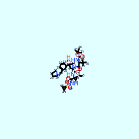 C=C[C@@H]1C[C@]1(NC(=O)[C@@H]1C[C@@](O)(C2C=CC=C(CN3CCCC3)C2)CN1C(=O)[C@@H](NC(=O)OC(C)(C)C)C(C)(C)C)C(=O)NS(=O)(=O)C1CC1